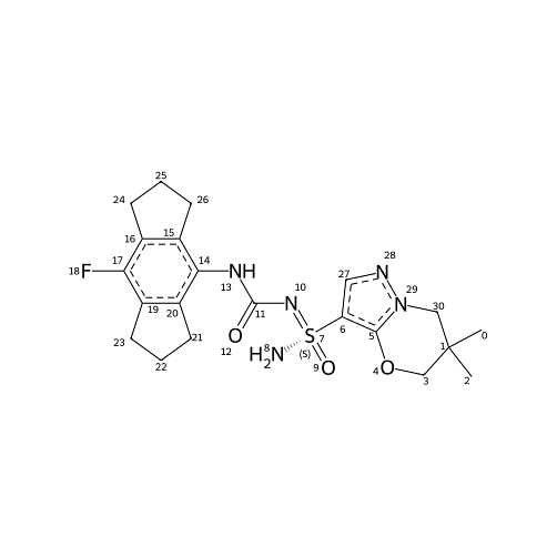 CC1(C)COc2c([S@@](N)(=O)=NC(=O)Nc3c4c(c(F)c5c3CCC5)CCC4)cnn2C1